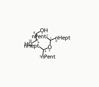 CCCCCCCC(CCCCC)OC(CCCCC)CCCCCCC.OCCO